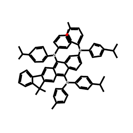 Cc1ccc(N(c2ccc(C(C)C)cc2)c2ccc3c(N(c4ccc(C)cc4)c4ccc(C(C)C)cc4)c4cc5c(cc4c(N(c4ccc(C)cc4)c4ccc(C(C)C)cc4)c3c2)-c2ccccc2C5(C)C)cc1